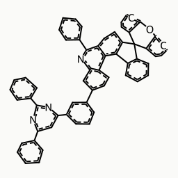 c1ccc(-c2cc(-c3cccc(-c4ccc5c(c4)nc(-c4ccccc4)c4ccc6c(c45)-c4ccccc4C64c5ccccc5Oc5ccccc54)c3)nc(-c3ccccc3)n2)cc1